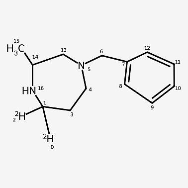 [2H]C1([2H])CCN(Cc2ccccc2)CC(C)N1